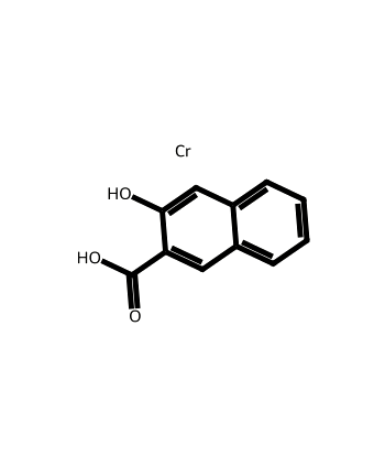 O=C(O)c1cc2ccccc2cc1O.[Cr]